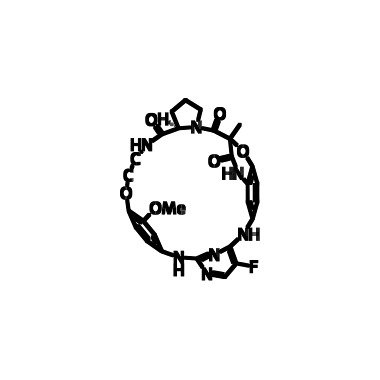 COc1cc2ccc1OCCNC(=O)[C@H]1CCCN1C(=O)C1(C)Oc3ccc(cc3NC1=O)Nc1nc(ncc1F)N2